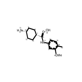 COc1cc(NC(=O)[C@H]2CC[C@@H](N)CC2)ccc1C.Cl